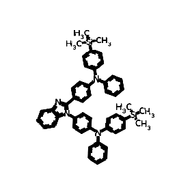 C[Si](C)(C)c1ccc(N(c2ccccc2)c2ccc(-c3nc4ccccc4n3-c3ccc(N(c4ccccc4)c4ccc([Si](C)(C)C)cc4)cc3)cc2)cc1